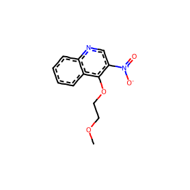 COCCOc1c([N+](=O)[O-])cnc2ccccc12